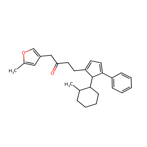 Cc1cc(CC(=O)CCC2=CC=C(c3ccccc3)C2C2CCCCC2C)co1